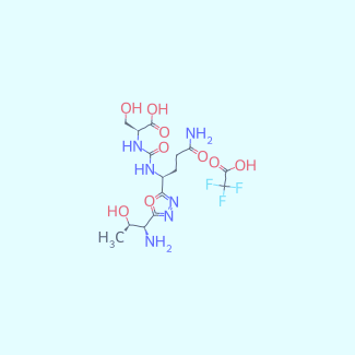 C[C@@H](O)[C@H](N)c1nnc([C@H](CCC(N)=O)NC(=O)N[C@@H](CO)C(=O)O)o1.O=C(O)C(F)(F)F